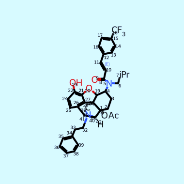 CC(=O)O[C@@]12CCC(N(CC(C)C)C(=O)/C=C/c3ccc(C(F)(F)F)cc3)C3Oc4c(O)ccc5c4[C@@]31CCN(CCc1ccccc1)[C@@H]2C5